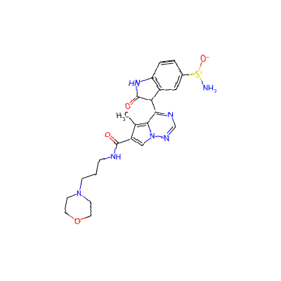 Cc1c(C(=O)NCCCN2CCOCC2)cn2ncnc(C3C(=O)Nc4ccc([S+](N)[O-])cc43)c12